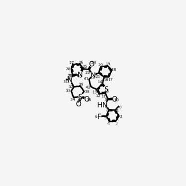 Cc1cccc(F)c1NC(=O)c1cc2c(s1)-c1ccccc1N(C(=O)c1cccc(N(C)C3CCS(=O)(=O)CC3)n1)CC2